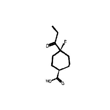 CCC(=O)[C@]1(F)CC[C@@H](C(=O)O)CC1